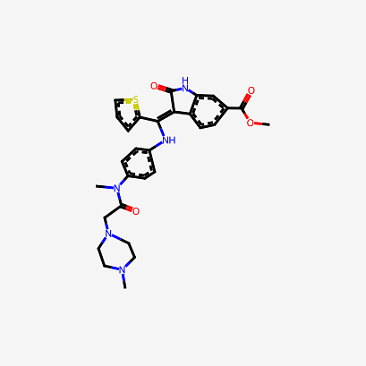 COC(=O)c1ccc2c(c1)NC(=O)C2=C(Nc1ccc(N(C)C(=O)CN2CCN(C)CC2)cc1)c1cccs1